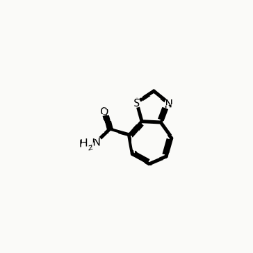 NC(=O)C1=C2SCN=C2C=CC=C1